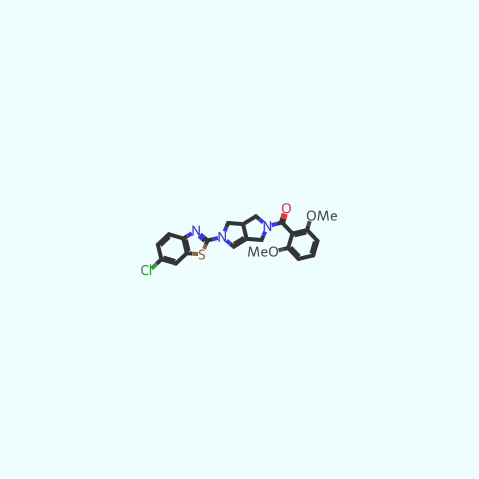 COc1cccc(OC)c1C(=O)N1CC2=CN(c3nc4ccc(Cl)cc4s3)CC2C1